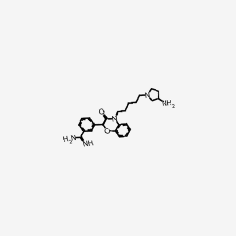 N=C(N)c1cccc(C2Oc3ccccc3N(CCCCCN3CCC(N)C3)C2=O)c1